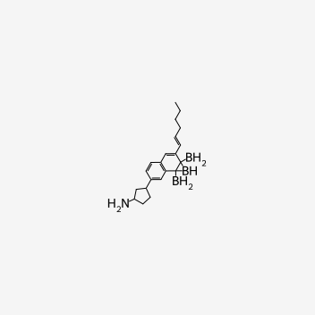 BC12BC1(B)c1cc(C3CCC(N)C3)ccc1C=C2/C=C/CCCC